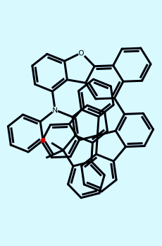 CC1(C)c2ccccc2-c2cccc(N(c3ccccc3)c3cccc4oc5c6ccccc6c(-c6cccc7c6C6(c8ccccc8-c8ccccc86)c6ccccc6-7)cc5c34)c21